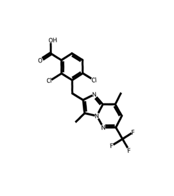 Cc1cc(C(F)(F)F)nn2c(C)c(Cc3c(Cl)ccc(C(=O)O)c3Cl)nc12